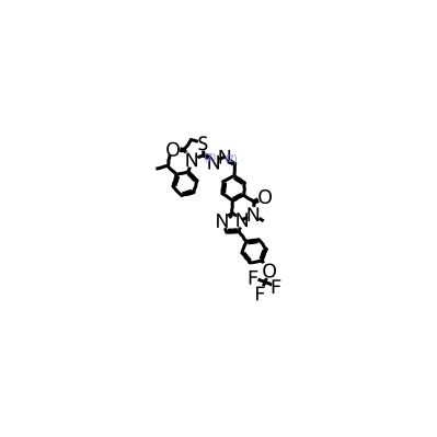 CC(C)c1ccccc1N1C(=O)CS/C1=N\N=C/c1ccc2c(c1)c(=O)n(C)n1c(-c3ccc(OC(F)(F)F)cc3)cnc21